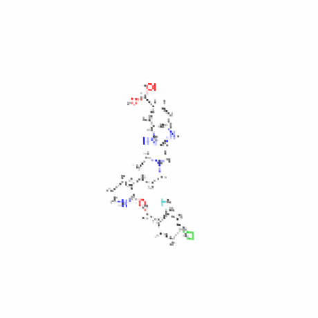 O=C(O)c1ccc2nc(CN3CCC(c4cccnc4OCc4ccc(Cl)cc4F)CC3)[nH]c2c1